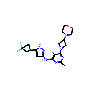 Cc1nc(Nc2cc(C3CC(F)(F)C3)[nH]n2)c(F)c(N2CC(N3CCOCC3)C2)n1